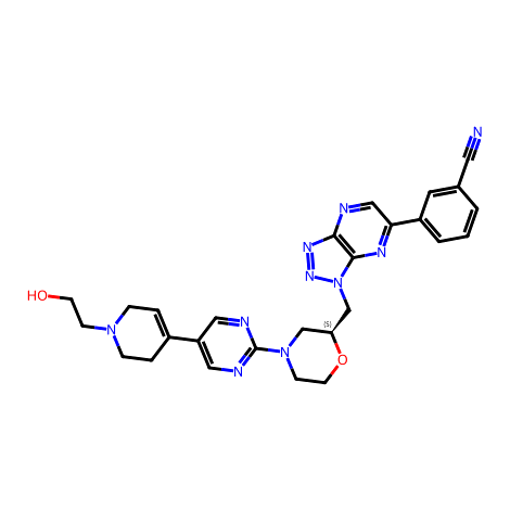 N#Cc1cccc(-c2cnc3nnn(C[C@@H]4CN(c5ncc(C6=CCN(CCO)CC6)cn5)CCO4)c3n2)c1